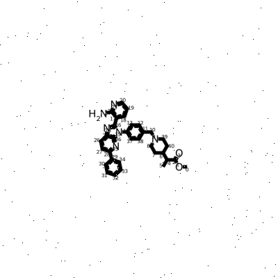 COC(=O)C(C)C1CCN(Cc2ccc(-n3c(-c4cccnc4N)nc4ccc(-c5ccccc5)nc43)cc2)CC1